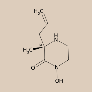 C=CC[C@]1(C)NCCN(O)C1=O